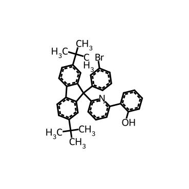 CC(C)(C)c1ccc2c(c1)C(c1cccc(Br)c1)(c1cccc(-c3ccccc3O)n1)c1cc(C(C)(C)C)ccc1-2